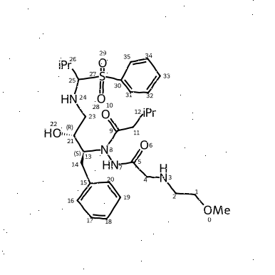 COCCNCC(=O)NN(C(=O)CC(C)C)[C@@H](Cc1ccccc1)[C@H](O)CNC(C(C)C)S(=O)(=O)c1ccccc1